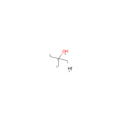 CC(C)(C)O.[Hf]